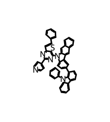 c1ccc(-c2cc3nc(-c4ccncc4)nc(-n4c5ccc(-c6cccc7c8ccccc8n(-c8ccccc8)c67)cc5c5cc6ccccc6cc54)c3s2)cc1